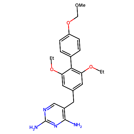 CCOc1cc(Cc2cnc(N)nc2N)cc(OCC)c1-c1ccc(OCOC)cc1